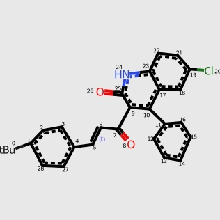 CC(C)(C)c1ccc(/C=C/C(=O)c2c(-c3ccccc3)c3cc(Cl)ccc3[nH]c2=O)cc1